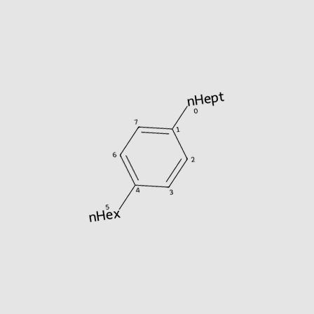 [CH2]CCCCCCc1ccc(CCCCCC)cc1